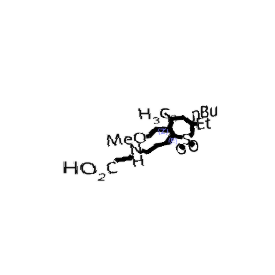 CCCC[C@@]1(CC)C[C@H](C)C(=C/COC)/C(=C\CCNCCC(=O)O)S(=O)(=O)C1